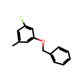 [CH2]c1cc(F)cc(OCc2ccccc2)c1